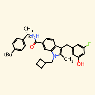 Cc1c(Cc2cc(O)cc(F)c2)c2ccc(C(=O)N[C@@H](C)c3ccc(C(C)(C)C)cc3)cc2n1CC1CCC1